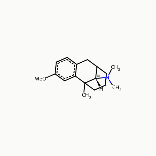 COc1ccc2c(c1)C1(C)CCCC(C2)[C@@H]1N(C)C